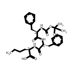 CCCC[C@@H](NC(=O)[C@@H](Cc1ccccc1)NC(=O)[C@@H](Cc1ccccc1)NC(=O)OC(C)(C)C)C(=O)O